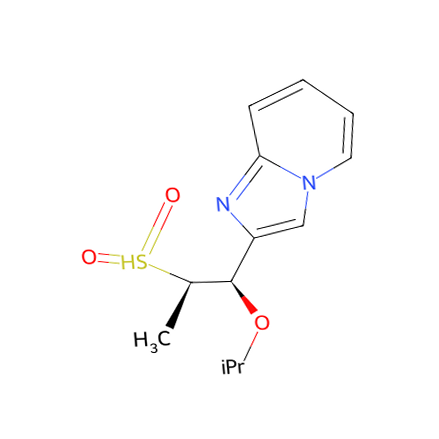 CC(C)O[C@H](c1cn2ccccc2n1)[C@@H](C)[SH](=O)=O